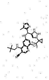 Cc1scnc1[C@H](Nc1cc(Cl)c2ncc(C#N)c(NCC(C)(C)C)c2c1)C1=CN(C2(C(F)F)CC2)NN1